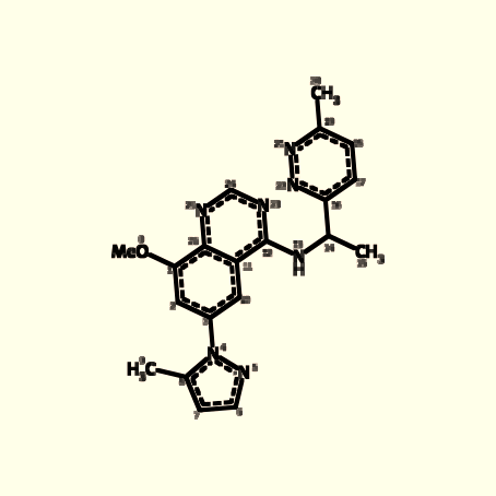 COc1cc(-n2nccc2C)cc2c(NC(C)c3ccc(C)nn3)ncnc12